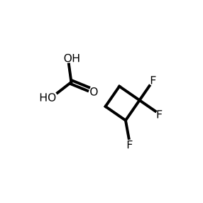 FC1CCC1(F)F.O=C(O)O